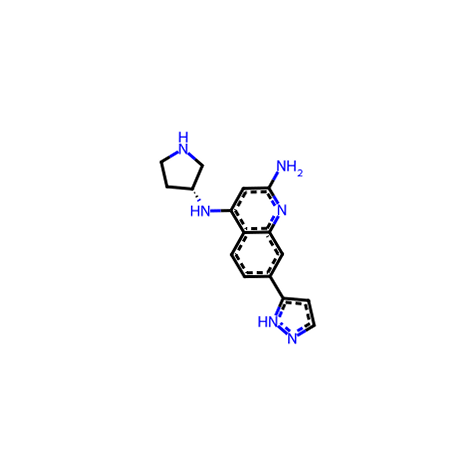 Nc1cc(N[C@@H]2CCNC2)c2ccc(-c3ccn[nH]3)cc2n1